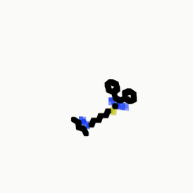 Cc1cc(C)n(CCCCCCSc2nc(-c3ccccc3)c(-c3ccccc3)[nH]2)n1